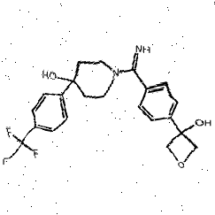 N=C(c1ccc(C2(O)COC2)cc1)N1CCC(O)(c2ccc(C(F)(F)F)cc2)CC1